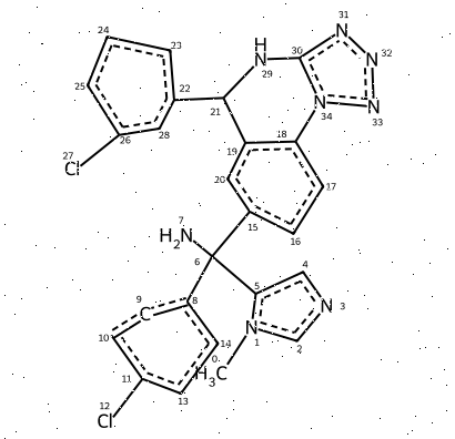 Cn1cncc1C(N)(c1ccc(Cl)cc1)c1ccc2c(c1)C(c1cccc(Cl)c1)Nc1nnnn1-2